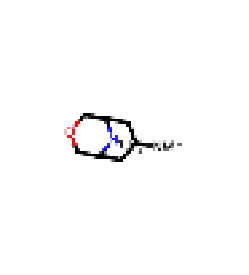 CNC1CC2COCC(C1)N2C(F)(F)F